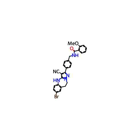 COc1ccccc1C(=O)NCc1ccc(-c2nn3c(c2C#N)Nc2ccc(Br)cc2CC3)cc1